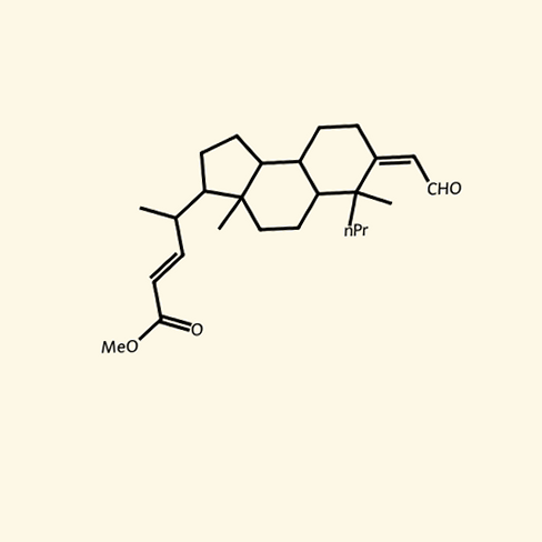 CCCC1(C)/C(=C\C=O)CCC2C1CCC1(C)C(C(C)/C=C/C(=O)OC)CCC21